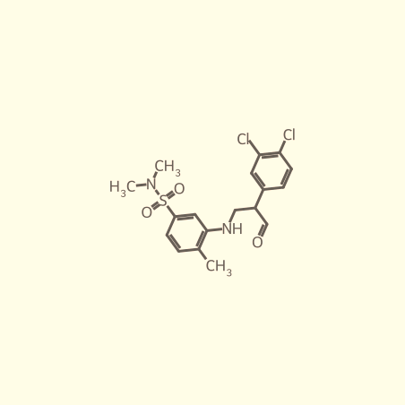 Cc1ccc(S(=O)(=O)N(C)C)cc1NCC(C=O)c1ccc(Cl)c(Cl)c1